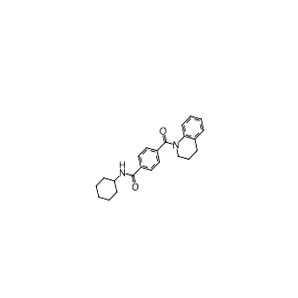 O=C(NC1CCCCC1)c1ccc(C(=O)N2CCCc3ccccc32)cc1